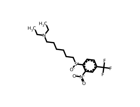 CCN(CC)CCCCCC[S+]([O-])c1ccc(C(F)(F)F)cc1[N+](=O)[O-]